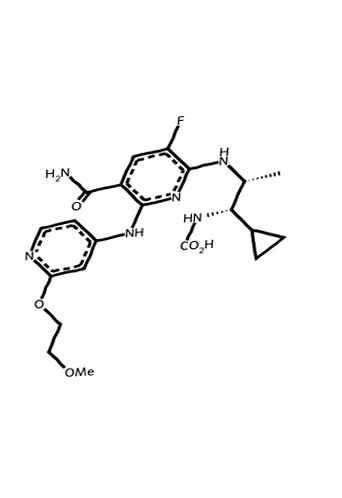 COCCOc1cc(Nc2nc(N[C@H](C)[C@@H](NC(=O)O)C3CC3)c(F)cc2C(N)=O)ccn1